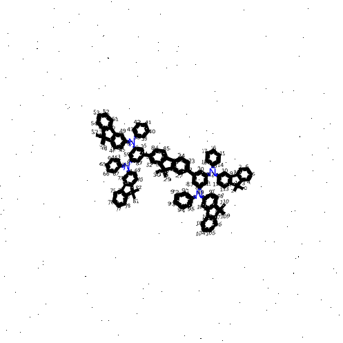 CC1(C)c2ccccc2-c2cc(N(c3ccccc3)c3cc(-c4ccc5c(c4)C(C)(C)c4cc(-c6cc(N(c7ccccc7)c7ccc8c(c7)-c7ccccc7C8(C)C)cc(N(c7ccccc7)c7ccc8c(c7)-c7ccccc7C8(C)C)c6)ccc4-5)cc(N(c4ccccc4)c4ccc5c(c4)-c4ccccc4C5(C)C)c3)ccc21